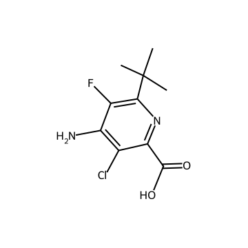 CC(C)(C)c1nc(C(=O)O)c(Cl)c(N)c1F